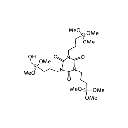 CO[Si](CO)(CCCn1c(=O)n(CCC[Si](OC)(OC)OC)c(=O)n(CCC[Si](OC)(OC)OC)c1=O)OC